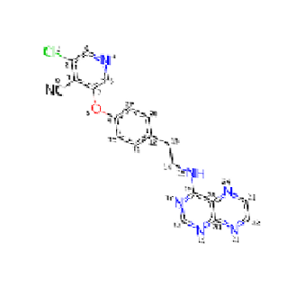 N#Cc1c(Cl)cncc1Oc1ccc(CCNc2ncnc3nccnc23)cc1